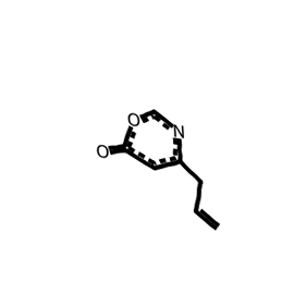 C=CCc1cc(=O)ocn1